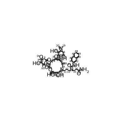 CO[C@]1(C)C[C@H](O[C@H]2[C@H](C)[C@@H](O[C@@H]3O[C@H](C)C[C@H](N(C)C)[C@H]3O)[C@](C)(O)C[C@@H](C)CN(CCCN(CCC(N)=O)C(=O)Nc3ccc4ccccc4c3)[C@H](C)[C@@H](O)[C@](C)(O)[C@@H](I)OC(=O)[C@@H]2C)O[C@@H](C)[C@@H]1O